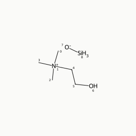 C[N+](C)(C)CCO.[O-][SiH3]